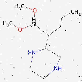 CCCC(C1CNCCN1)[SiH](OC)OC